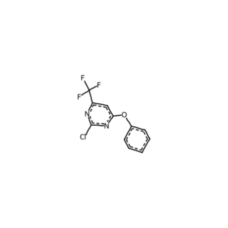 FC(F)(F)c1cc(Oc2ccccc2)nc(Cl)n1